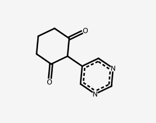 O=C1CCCC(=O)C1c1cncnc1